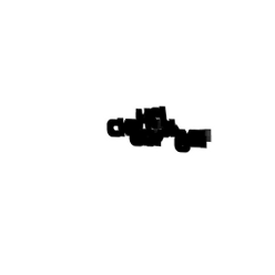 CN(CCCC(=O)c1ccc(F)cc1)CCCN1CCC(Oc2cccc(Cl)c2)CC1.Cl.Cl